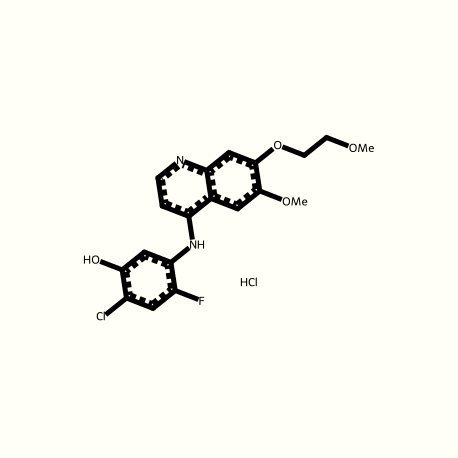 COCCOc1cc2nccc(Nc3cc(O)c(Cl)cc3F)c2cc1OC.Cl